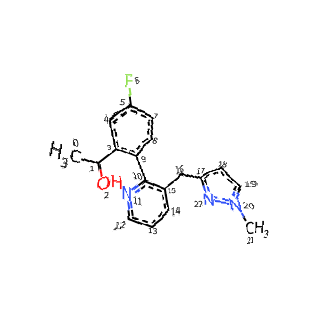 CC(O)c1cc(F)ccc1-c1ncccc1Cc1ccn(C)n1